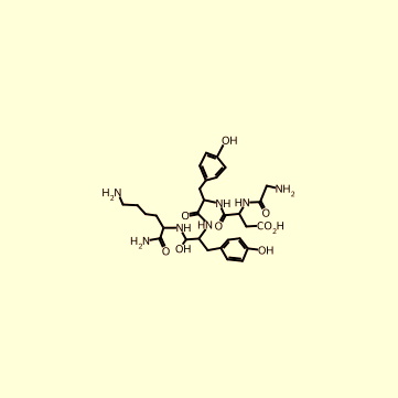 NCCCCC(NC(O)C(Cc1ccc(O)cc1)NC(=O)C(Cc1ccc(O)cc1)NC(=O)C(CC(=O)O)NC(=O)CN)C(N)=O